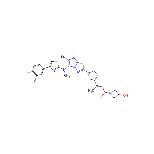 CCc1nc2sc(N3CCC(N(C)CC(=O)N4CC(O)C4)C3)nn2c1N(C)c1nc(-c2ccc(F)c(F)c2)cs1